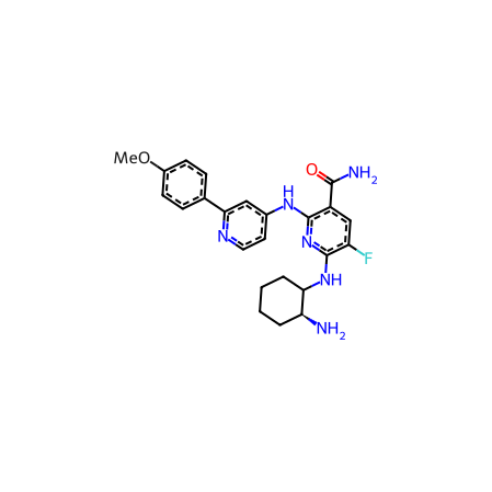 COc1ccc(-c2cc(Nc3nc(NC4CCCC[C@@H]4N)c(F)cc3C(N)=O)ccn2)cc1